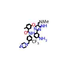 CN/C=C1\C(=N)N=C(c2cccc(N)c2)N=C1Oc1ccc(C)c(C(=O)Nc2ccc(CN3CCN(C)CC3)c(C(F)(F)F)c2)c1